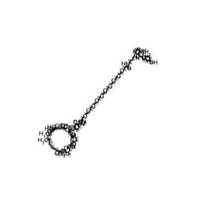 CO[C@H]1C[C@@H]2CCC[C@@](O)(O2)C(=O)C(=O)N2CCCC[C@H]2C(=O)O[C@H]([C@H](N)C[C@@H]2CC[C@H](n3cc(COCCOCCOCCOCCOCCOCCOCCOCCOCCOCCC(=O)NCCCCn4nc(-c5cc6cc(O)ccc6[nH]5)c5c(N)ncnc54)nn3)[C@H](OC)C2)CC(=O)[C@H](C)/C=C(\C)[C@@H](O)[C@@H](O)C(=O)[C@H](C)C[C@H](C)/C=C/C=C/C=C/1C